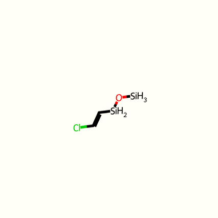 [SiH3]O[SiH2]C=CCl